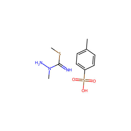 CSC(=N)N(C)N.Cc1ccc(S(=O)(=O)O)cc1